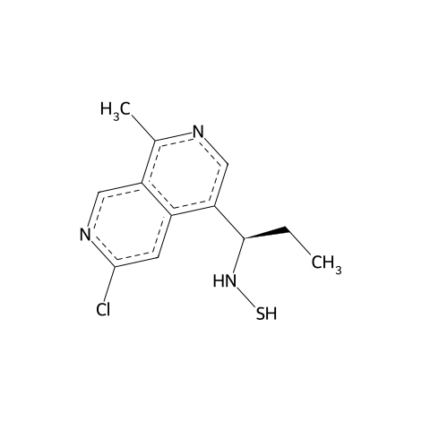 CC[C@@H](NS)c1cnc(C)c2cnc(Cl)cc12